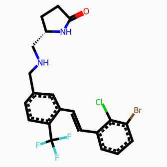 O=C1CC[C@@H](CNCc2ccc(C(F)(F)F)c(/C=C/c3cccc(Br)c3Cl)c2)N1